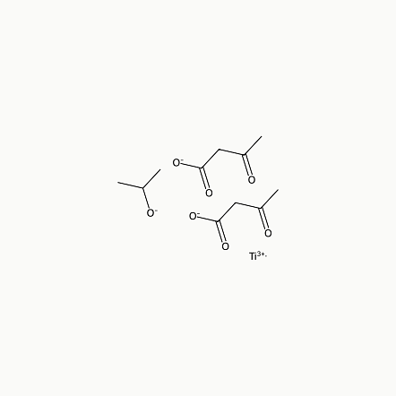 CC(=O)CC(=O)[O-].CC(=O)CC(=O)[O-].CC(C)[O-].[Ti+3]